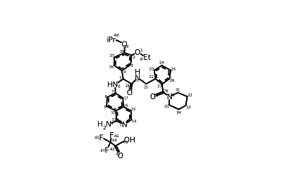 CCOc1cc(C(Nc2ccc3c(N)nccc3c2)C(=O)NCc2ccccc2C(=O)N2CCCCC2)ccc1OC(C)C.O=C(O)C(F)(F)F